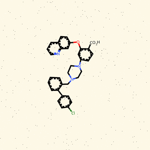 O=C(O)c1ccc(N2CCN(Cc3ccccc3-c3ccc(Cl)cc3)CC2)cc1Oc1ccc2cccnc2c1